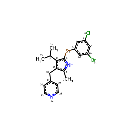 Cc1[nH]c(Sc2cc(Cl)cc(Br)c2)c(C(C)C)c1Cc1ccncc1